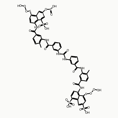 Cc1ccc(C(=O)Nc2ccc(S(=O)(=O)O)c3cc(S(=O)(=O)O)cc(SOOO)c23)cc1NC(=O)c1cccc(NC(=O)Nc2cccc(C(=O)Nc3cc(C(=O)Nc4ccc(SOOO)c5cc(OS(=O)O)cc(S(=O)(=O)O)c45)ccc3C)c2)c1